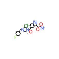 C[C@@H]1CN(C(=O)c2cc3c(cc2Cl)N(C)CC3C(=O)C(=O)N(C)C)[C@H](C)CN1Cc1ccc(F)cc1